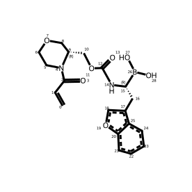 C=CC(=O)N1CCOC[C@@H]1COC(=O)N[C@@H](Cc1coc2ccccc12)B(O)O